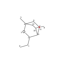 CCC1OC2(C)CC(C)C1C(C)C2